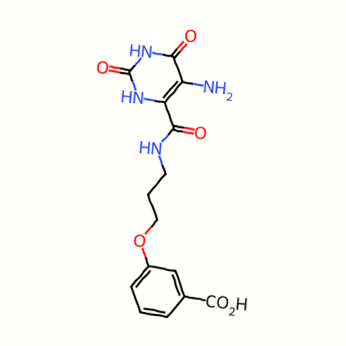 Nc1c(C(=O)NCCCOc2cccc(C(=O)O)c2)[nH]c(=O)[nH]c1=O